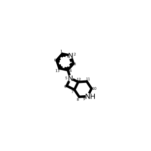 c1cncc(N2CC3CNCCC32)c1